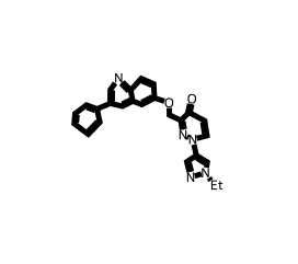 CCn1cc(-n2ccc(=O)c(COc3ccc4ncc(-c5ccccc5)cc4c3)n2)cn1